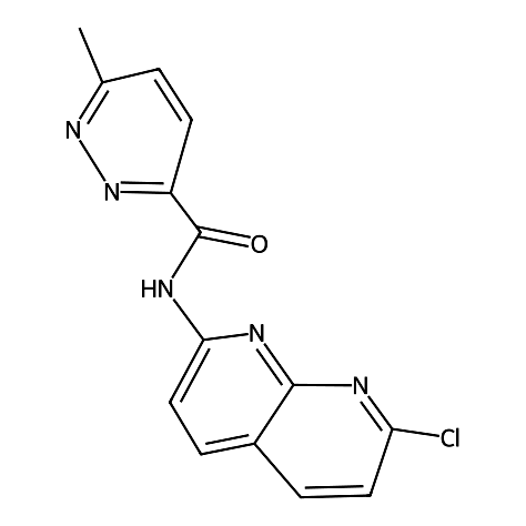 Cc1ccc(C(=O)Nc2ccc3ccc(Cl)nc3n2)nn1